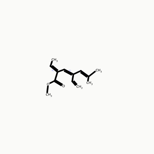 C=C/C(C=C(C)C)=C\C(=C/C)C(=O)OC